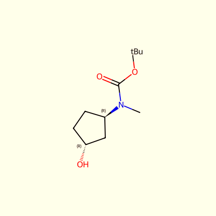 CN(C(=O)OC(C)(C)C)[C@@H]1CC[C@@H](O)C1